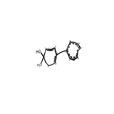 OC1(O)C=CC(c2ccccc2)=CC1